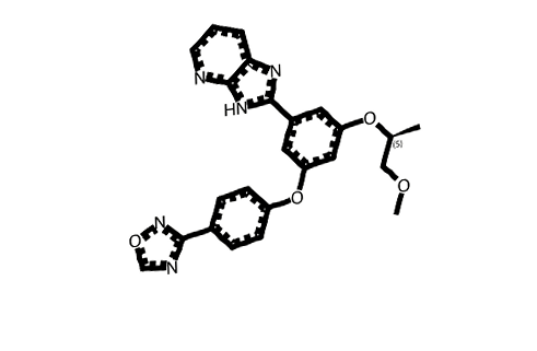 COC[C@H](C)Oc1cc(Oc2ccc(-c3ncon3)cc2)cc(-c2nc3cccnc3[nH]2)c1